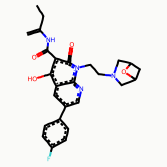 C=C(CC)NC(=O)c1c(O)c2cc(-c3ccc(F)cc3)cnc2n(CCN2CC3CC(C2)O3)c1=O